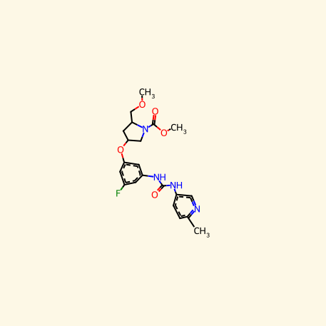 COCC1CC(Oc2cc(F)cc(NC(=O)Nc3ccc(C)nc3)c2)CN1C(=O)OC